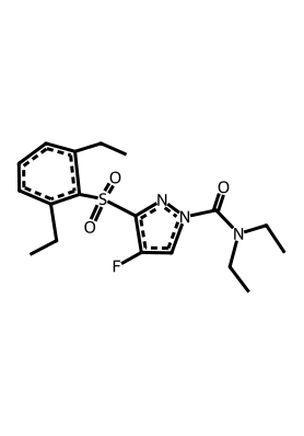 CCc1cccc(CC)c1S(=O)(=O)c1nn(C(=O)N(CC)CC)cc1F